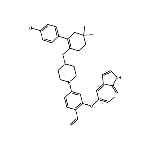 C=Cc1ccc(N2CCN(CC3=C(c4ccc(Cl)cc4)CC(C)(C)CC3)CC2)cc1OC(/C=c1/cc[nH]c1=C)=C/C